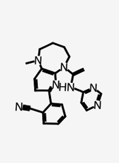 C=C(Nc1ccncn1)N1CCCCN(C)c2ccc(-c3ccccc3C#N)nc21